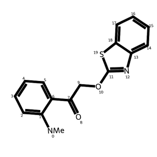 CNc1ccccc1C(=O)COc1nc2ccccc2s1